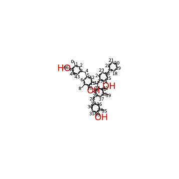 Cc1cc(Cc2cc(C)c(O)c(C(c3ccc(-c4ccccc4)cc3)c3cc(Cc4ccc(O)c(C)c4)cc(C)c3O)c2)ccc1O